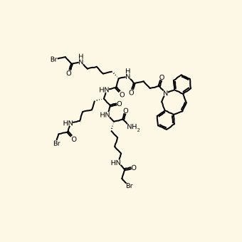 NC(=O)[C@H](CCCCNC(=O)CBr)NC(=O)[C@H](CCCCNC(=O)CBr)NC(=O)[C@H](CCCCNC(=O)CBr)NC(=O)CCC(=O)N1Cc2ccccc2/C=C\c2ccccc21